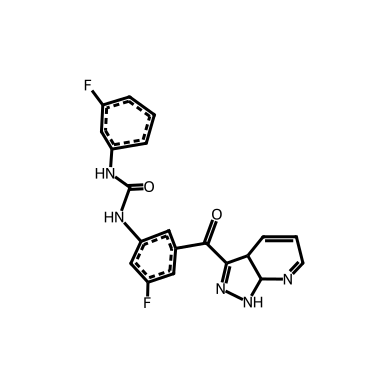 O=C(Nc1cccc(F)c1)Nc1cc(F)cc(C(=O)C2=NNC3N=CC=CC23)c1